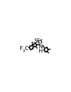 CCSc1nc2cc(C(F)(F)F)ccc2c(C)c1C(=O)NCc1ccc(C)c(C)c1